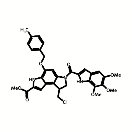 COC(=O)c1cc2c3c(cc(OCc4ccc(C)cc4)c2[nH]1)N(C(=O)c1cc2cc(OC)c(OC)c(OC)c2[nH]1)CC3CCl